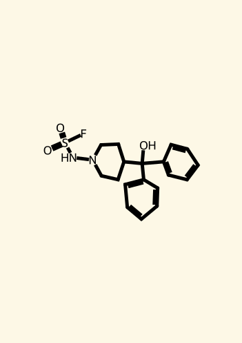 O=S(=O)(F)NN1CCC(C(O)(c2ccccc2)c2ccccc2)CC1